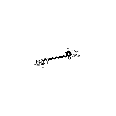 COC1=C(OC)C(=O)C(CCCCCCCCCCOC(=O)C(CO)NC(=O)OC(C)(C)C)=C(C)C1=O